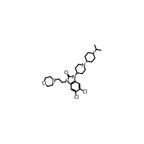 CC(C)[C@H]1CC[C@H](N2CCC(n3c(=O)n(CCN4CCOCC4)c4cc(Cl)c(Cl)cc43)CC2)CC1